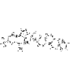 COc1cc(C(F)(F)F)cnc1-n1ncc(C(=O)Nc2cnc(C3CCC4(CC3)OCCO4)c(C)c2)c1C